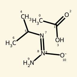 CC(=O)O.CC(C)/N=[N+](\N)[O-]